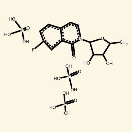 CC1OC(n2ccc3ccc(F)cc3c2=O)C(O)C1O.O=P(O)(O)O.O=P(O)(O)O.O=P(O)(O)O